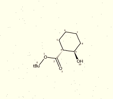 CC(C)(C)OC(=O)[C@@H]1CCCC[C@H]1O